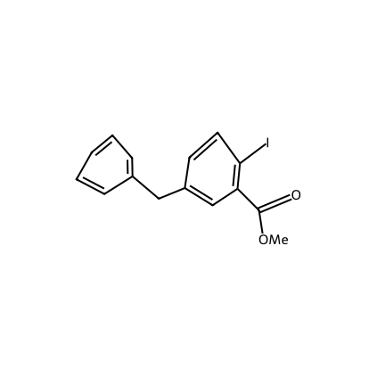 COC(=O)c1cc(Cc2ccccc2)ccc1I